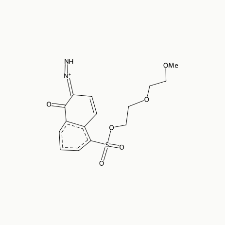 COCCOCCOS(=O)(=O)c1cccc2c1C=CC(=[N+]=N)C2=O